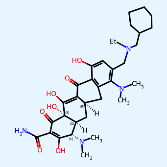 CCN(Cc1cc(O)c2c(c1N(C)C)C[C@H]1C[C@H]3[C@H](N(C)C)C(O)=C(C(N)=O)C(=O)[C@@]3(O)C(O)=C1C2=O)CC1CCCCC1